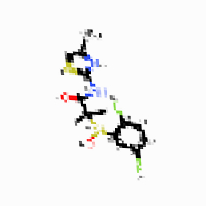 CC(C)(C)c1csc(NC(=O)C(C)(C)[S+]([O-])c2cc(F)ccc2F)n1